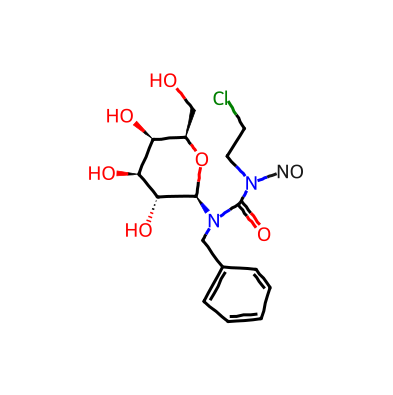 O=NN(CCCl)C(=O)N(Cc1ccccc1)[C@@H]1O[C@H](CO)[C@H](O)[C@H](O)[C@H]1O